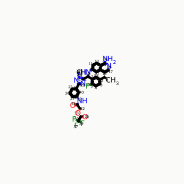 CCc1ccc(F)c(C(Nc2ccc3c(N)nccc3c2)c2nc(-c3cccc(NC(=O)COC(=O)C(F)(F)F)c3)nn2C)c1